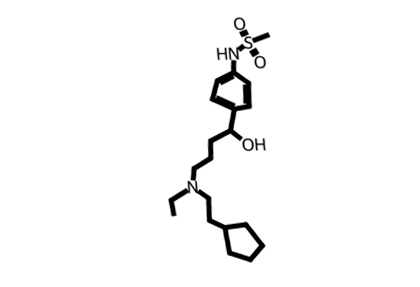 CCN(CCCC(O)c1ccc(NS(C)(=O)=O)cc1)CCC1CCCC1